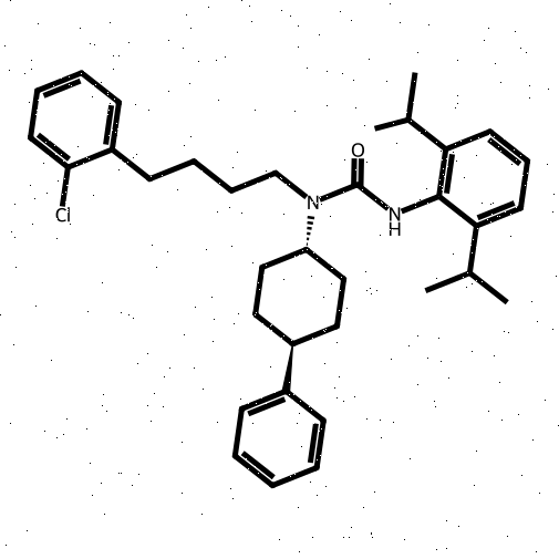 CC(C)c1cccc(C(C)C)c1NC(=O)N(CCCCc1ccccc1Cl)[C@H]1CC[C@H](c2ccccc2)CC1